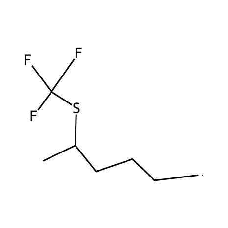 [CH2]CCCC(C)SC(F)(F)F